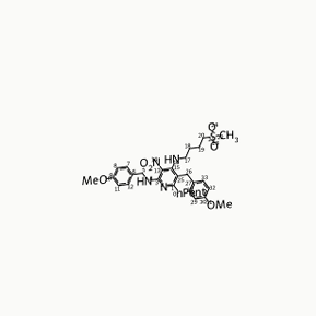 CCCCCc1nc(NCc2ccc(OC)cc2)c([N+](=O)[O-])c(NCCCCS(C)(=O)=O)c1Cc1ccc(OC)cc1